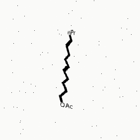 CCC/C=C/CC/C=C/CCCCOC(C)=O